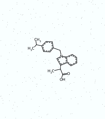 CC(C)c1ccc(Cn2cc(C(C)C(=O)O)c3ccccc32)cc1